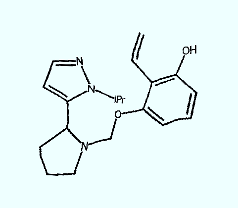 C=Cc1c(O)cccc1OCN1CCCC1c1ccnn1C(C)C